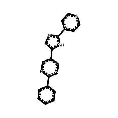 c1ccc(-c2ncc(-c3cnc(-c4ccncc4)[nH]3)cn2)cc1